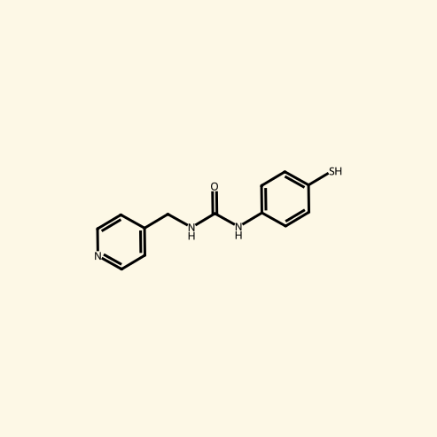 O=C(NCc1ccncc1)Nc1ccc(S)cc1